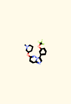 CN1CCCC(Oc2ccc3ncc(-c4cccc(OC(F)(F)F)c4)n3n2)C1